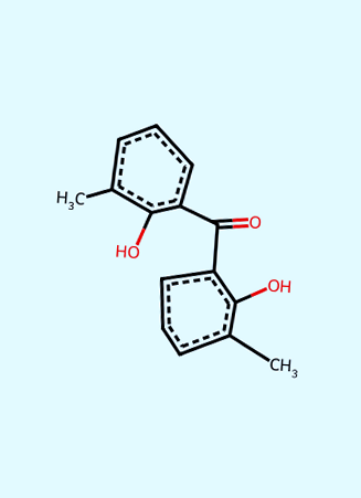 Cc1cccc(C(=O)c2cccc(C)c2O)c1O